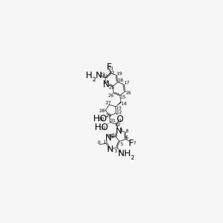 Cc1nc(N)c2c(F)cn([C@@H]3OC4[C@H](Cc5ccc6cc(F)c(N)nc6c5)CC[C@]4(O)[C@H]3O)c2n1